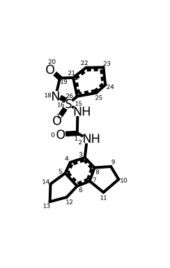 O=C(Nc1cc2c(c3c1CCC3)CCC2)NS1(=O)=NC(=O)c2ccccc21